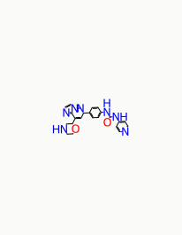 O=C(Nc1ccncc1)Nc1ccc(-c2cc(C3CNCCO3)c3nccn3n2)cc1